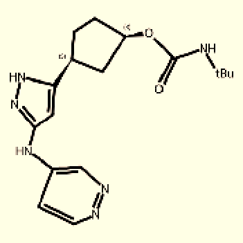 CC(C)(C)NC(=O)O[C@@H]1CC[C@H](c2cc(Nc3ccnnc3)n[nH]2)C1